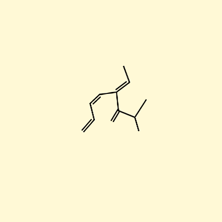 C=C/C=C\C(=C/C)C(=C)C(C)C